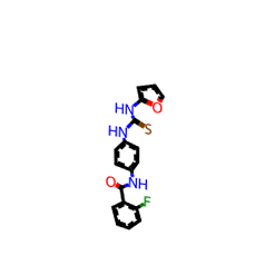 O=C(Nc1ccc(NC(=S)Nc2ccco2)cc1)c1ccccc1F